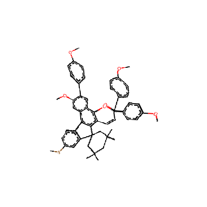 COc1ccc(-c2cc3c4c(c5c(c3cc2OC)-c2ccc(SC)cc2C52CC(C)(C)CC(C)(C)C2)C=CC(c2ccc(OC)cc2)(c2ccc(OC)cc2)O4)cc1